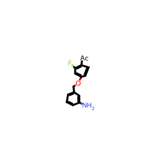 CC(=O)c1ccc(OCc2cccc(N)c2)cc1F